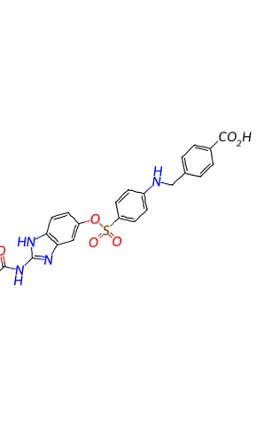 O=C(O)c1ccc(CNc2ccc(S(=O)(=O)Oc3ccc4[nH]c(NC(=O)C5CC5)nc4c3)cc2)cc1